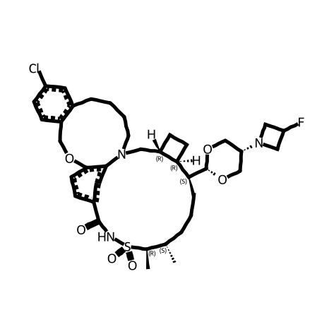 C[C@@H]1[C@@H](C)CCC[C@H]([C@H]2OC[C@@H](N3CC(F)C3)CO2)[C@@H]2CC[C@H]2CN2CCCCc3cc(Cl)ccc3COc3ccc(cc32)C(=O)NS1(=O)=O